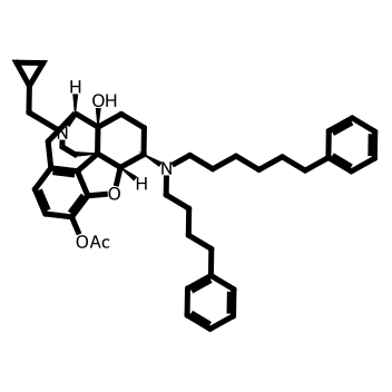 CC(=O)Oc1ccc2c3c1O[C@H]1[C@H](N(CCCCCCc4ccccc4)CCCCc4ccccc4)CC[C@@]4(O)[C@@H](C2)N(CC2CC2)CC[C@]314